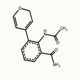 CC(=O)Nc1c(C(N)=O)cccc1C1=CCOC=C1